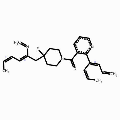 C=C/C=C(\C=C/C)c1ncccc1C(=O)N1CCC(F)(C/C(=C/C=C\C)N=C)CC1